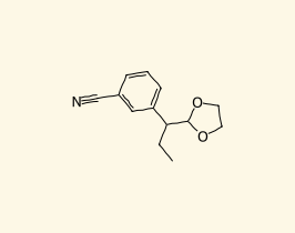 CCC(c1cccc(C#N)c1)C1OCCO1